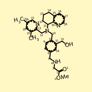 COC(=O)CNCc1ccc(CN(Cc2ncc(C)cc2C)C2CCCc3cccnc32)c(CO)c1